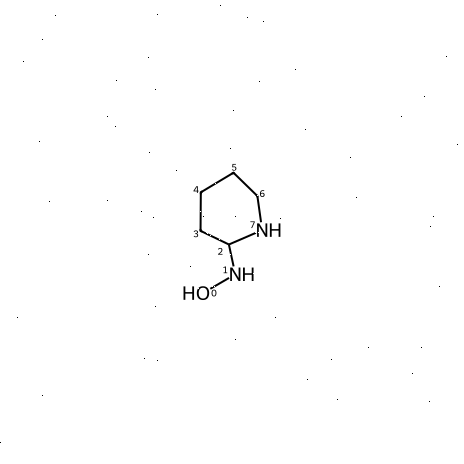 ONC1CCCCN1